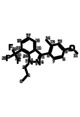 CCCn1nc(-c2ccc(OC)cc2C)c2cccc(C(F)(F)F)c21